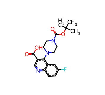 CC(C)(C)OC(=O)N1CCN(c2c(C(=O)O)cnc3ccc(F)cc23)CC1